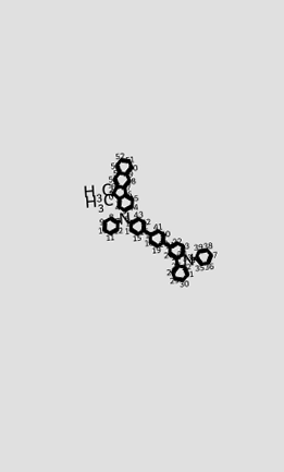 CC1(C)c2cc(N(c3ccccc3)c3ccc(-c4ccc(-c5ccc6c(c5)c5ccccc5n6-c5ccccc5)cc4)cc3)ccc2-c2cc3ccccc3cc21